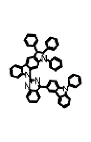 c1ccc(-c2c(-c3ccccc3)n(-c3ccccc3)c3cc4c(cc23)c2ccccc2n4-c2nc(-c3ccc4c(c3)c3ccccc3n4-c3ccccc3)c3ccccc3n2)cc1